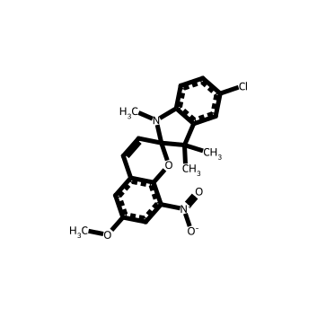 COc1cc2c(c([N+](=O)[O-])c1)OC1(C=C2)N(C)c2ccc(Cl)cc2C1(C)C